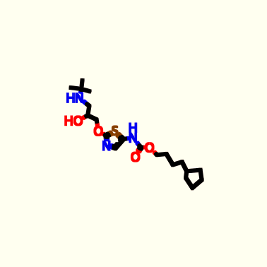 CC(C)(C)NCC(O)COc1ncc(NC(=O)OCCCCC2CCCC2)s1